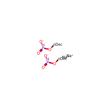 CCCCCCCCCCO[PH](=O)[O-].CCCCCCCCCCO[PH](=O)[O-].[Na+].[Na+]